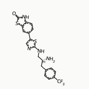 N[C@@H](CNc1ncc(-c2ccc3[nH]c(=O)sc3c2)s1)Cc1ccc(C(F)(F)F)cc1